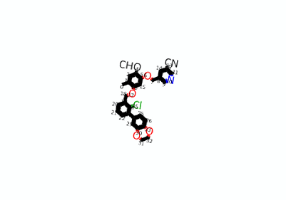 Cc1cc(C=O)c(OCc2cncc(C#N)c2)cc1OCc1cccc(-c2ccc3c(c2)OCCO3)c1Cl